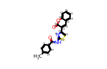 Cc1ccc(C(=O)Nc2nc(-c3cc4ccccc4oc3=O)cs2)cc1